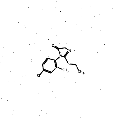 CCSC1=NCC(=O)N1c1ccc(Cl)cc1C